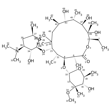 CC[C@H]1OC(=O)[C@H](C)[C@@H](O[C@H]2C[C@@](C)(OC)[C@@H](O)[C@H](C)O2)[C@H](C)[C@H](O[C@@H]2O[C@H](C)C[C@H](N(C)C)[C@H]2O)C(C)(OC)C[C@@H](C)[C@H](O)[C@H](C)[C@@H](O)[C@]1(C)O